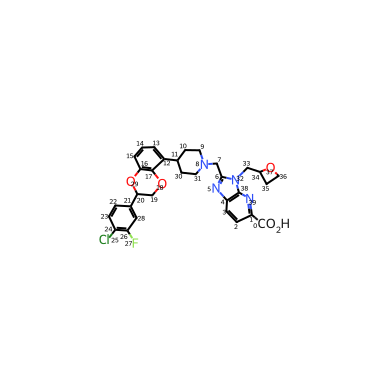 O=C(O)c1ccc2nc(CN3CCC(c4cccc5c4OCC(c4ccc(Cl)c(F)c4)O5)CC3)n(CC3CCO3)c2n1